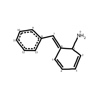 NC1C=CC=C/C1=C\c1ccccc1